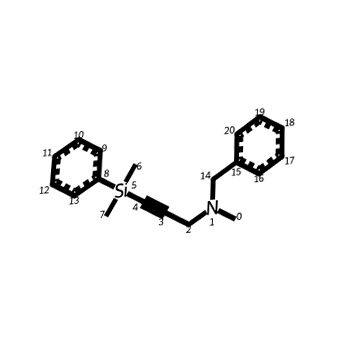 CN(CC#C[Si](C)(C)c1ccccc1)Cc1ccccc1